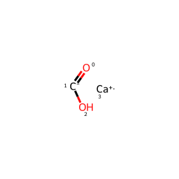 O=[C-]O.[Ca+]